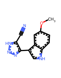 COc1ccc2[nH]cc(-c3nn[nH]c3C#N)c2c1